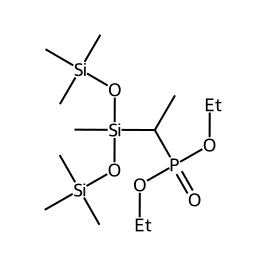 CCOP(=O)(OCC)C(C)[Si](C)(O[Si](C)(C)C)O[Si](C)(C)C